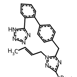 CC=CCn1nc(CCCCC)nc1Cc1ccc(-c2ccccc2-c2nnn[nH]2)cc1